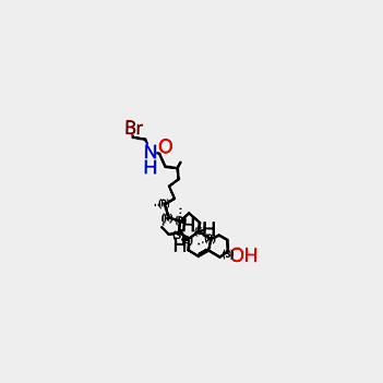 CC(CCC[C@@H](C)[C@H]1CC[C@H]2[C@@H]3CC=C4C[C@@H](O)CC[C@]4(C)[C@H]3CC[C@]12C)CC(=O)NCCBr